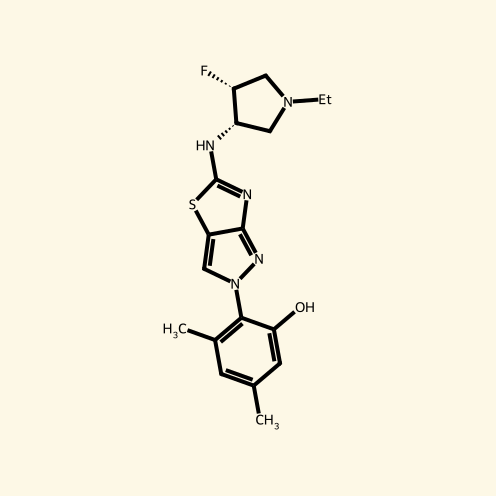 CCN1C[C@@H](F)[C@@H](Nc2nc3nn(-c4c(C)cc(C)cc4O)cc3s2)C1